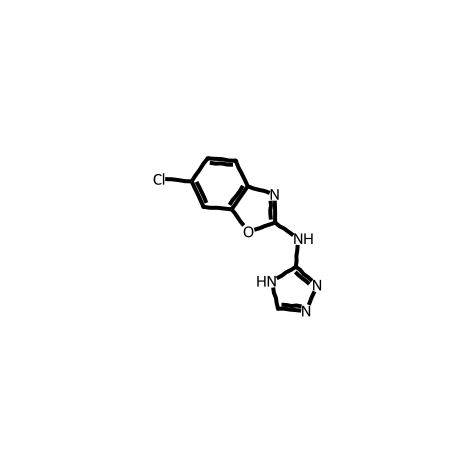 Clc1ccc2nc(Nc3nnc[nH]3)oc2c1